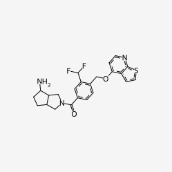 NC1CCC2CN(C(=O)c3ccc(COc4ccnc5sccc45)c(C(F)F)c3)CC12